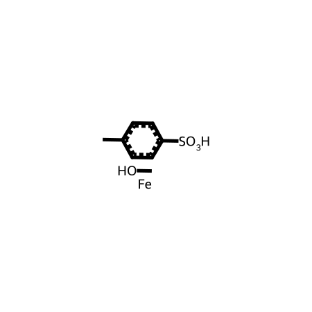 CO.Cc1ccc(S(=O)(=O)O)cc1.[Fe]